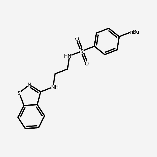 CCCCc1ccc(S(=O)(=O)NCCNc2nsc3ccccc23)cc1